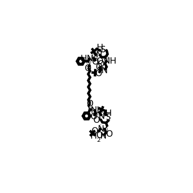 CN(CC(=O)N[C@H]1CCS[C@H]2CC(C)(C)[C@@H](C(=O)N[C@H](COCCCCCCCCCCOC[C@@H](NC(=O)[C@H]3N4C(=O)CC(C[C@@H](C(N)=O)N(C)C(=O)OC(C)(C)C)CS[C@H]4CC3(C)C)c3ccccc3)c3ccccc3)N2C1=O)C(=O)OC(C)(C)C